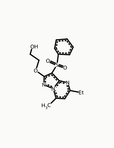 CCc1cc(C)n2nc(OCCO)c(S(=O)(=O)c3ccccc3)c2n1